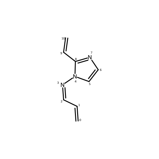 C=C/C=N\n1ccnc1C=C